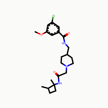 COc1cc(Cl)cc(C(=O)NCC2CCN(CC(=O)NC3(C)CCC3C)CC2)c1